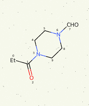 [CH2]CC(=O)N1CCN(C=O)CC1